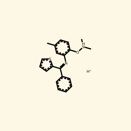 Cc1ccc(O[SiH](C)C)c(N=C(c2ccccc2)c2cccs2)c1.[H+]